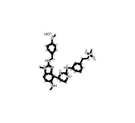 CNc1ccc2c(nc(NCc3ccc(OC)cc3)n2C)c1-c1ccnc(Nc2cccc(CCS(C)(=O)=O)c2)n1.Cl